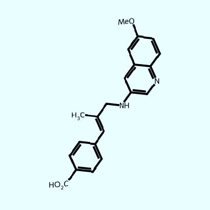 COc1ccc2ncc(NCC(C)=Cc3ccc(C(=O)O)cc3)cc2c1